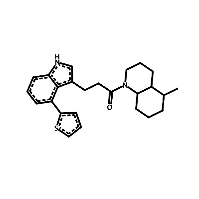 CC1CCCC2C1CCCN2C(=O)CCc1c[nH]c2cccc(-c3cccs3)c12